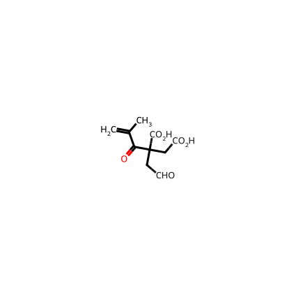 C=C(C)C(=O)C(CC=O)(CC(=O)O)C(=O)O